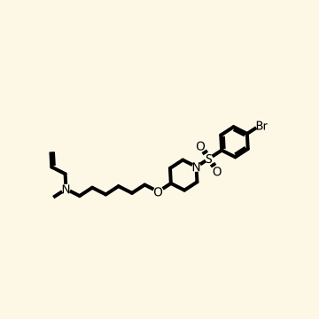 C=CCN(C)CCCCCCOC1CCN(S(=O)(=O)c2ccc(Br)cc2)CC1